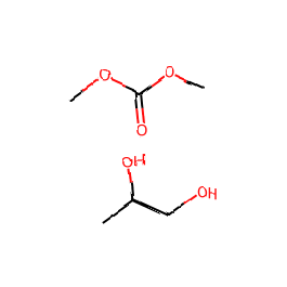 CC(O)CO.COC(=O)OC